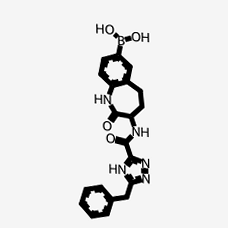 O=C(NC1CCc2cc(B(O)O)ccc2NC1=O)c1nnc(Cc2ccccc2)[nH]1